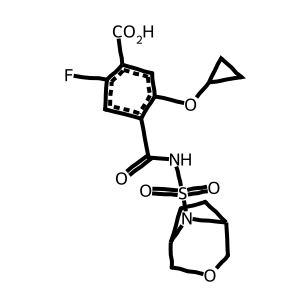 O=C(O)c1cc(OC2CC2)c(C(=O)NS(=O)(=O)N2C3CCC2COC3)cc1F